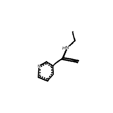 C=C(NCC)c1cccnc1